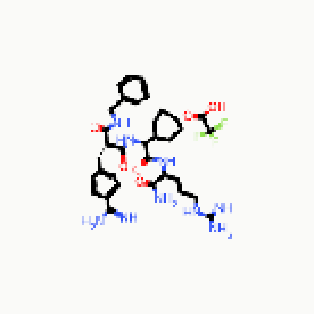 N=C(N)NCCCC(NC(=O)C(NC(=O)[C@H](Cc1ccc(C(=N)N)cc1)C(=O)NCc1ccccc1)C1CCCCC1)C(N)=O.O=C(O)C(F)(F)F